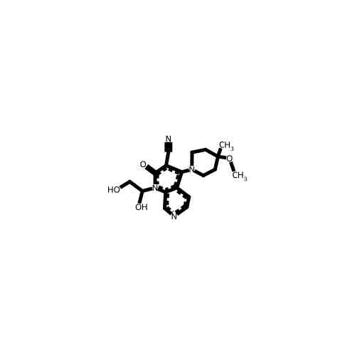 COC1(C)CCN(c2c(C#N)c(=O)n(C(O)CO)c3cnccc23)CC1